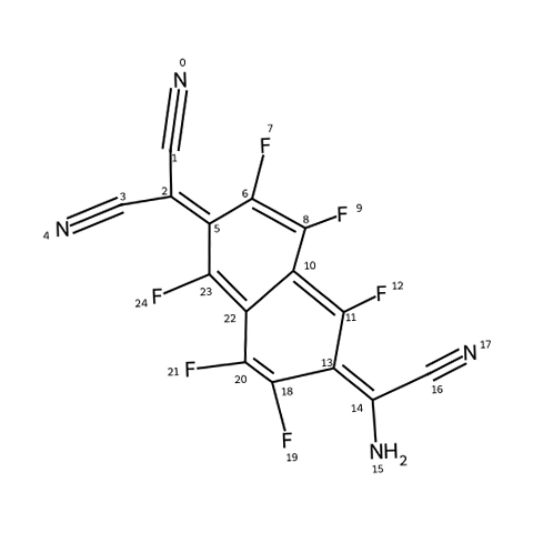 N#CC(C#N)=c1c(F)c(F)c2c(F)/c(=C(/N)C#N)c(F)c(F)c2c1F